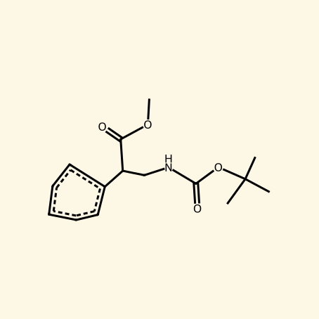 COC(=O)C(CNC(=O)OC(C)(C)C)c1ccccc1